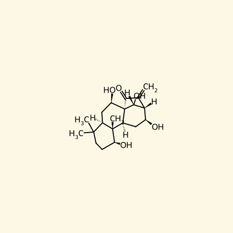 C=C1C(=O)[C@@]23[C@H](O)C[C@@H]4C(C)(C)CC[C@H](O)[C@@]4(C)[C@@H]2C[C@H](O)[C@@H]1[C@H]3O